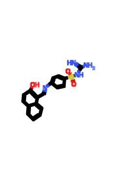 N=C(N)NS(=O)(=O)c1ccc(/N=C/c2c(O)ccc3ccccc23)cc1